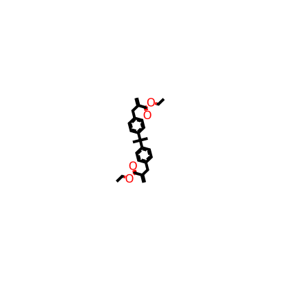 C=C(Cc1ccc(C(C)(C)c2ccc(CC(=C)C(=O)OCC)cc2)cc1)C(=O)OCC